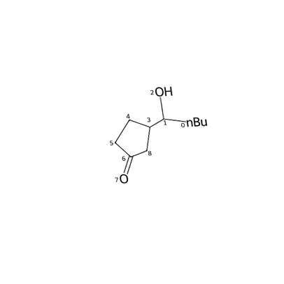 CCCCC(O)C1CCC(=O)C1